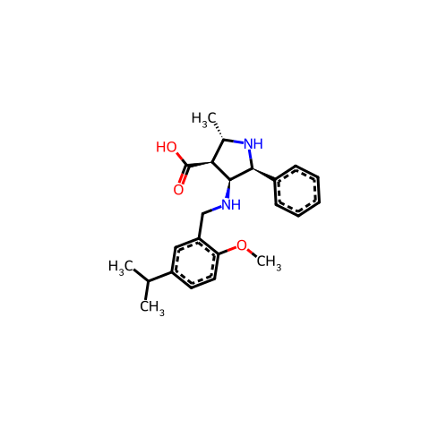 COc1ccc(C(C)C)cc1CN[C@H]1[C@@H](C(=O)O)[C@H](C)N[C@H]1c1ccccc1